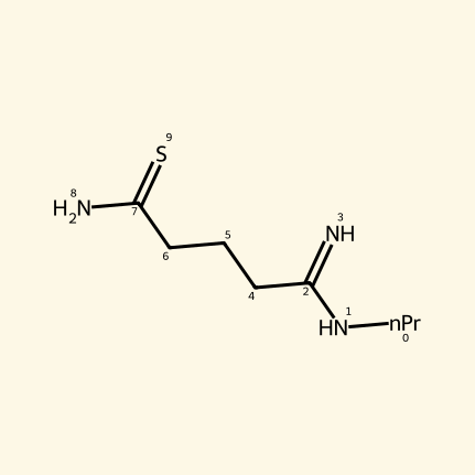 CCCNC(=N)CCCC(N)=S